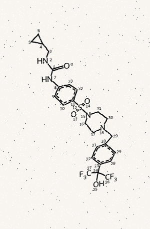 O=C(NCC1CC1)Nc1ccc(S(=O)(=O)N2CCN(Cc3ccc(C(O)(C(F)(F)F)C(F)(F)F)cc3)CC2)cc1